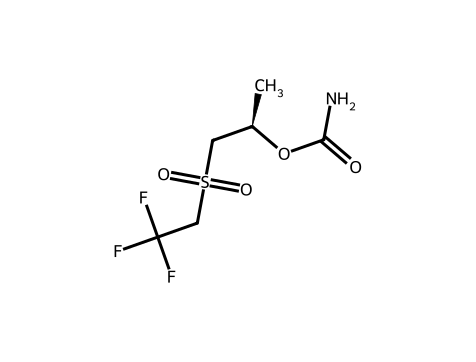 C[C@H](CS(=O)(=O)CC(F)(F)F)OC(N)=O